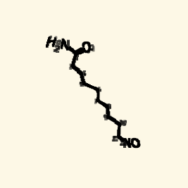 NC(=O)CCCCCCCCCN=O